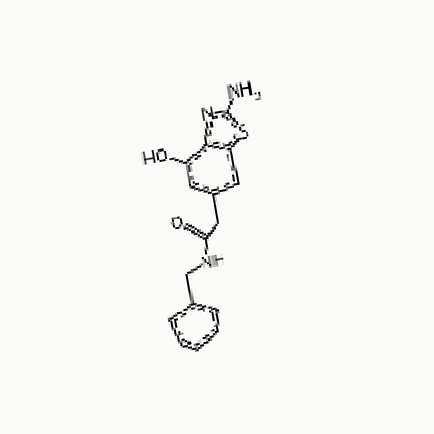 Nc1nc2c(O)cc(CC(=O)NCc3ccccc3)cc2s1